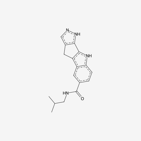 CC(C)CNC(=O)c1ccc2[nH]c3c(c2c1)Cc1cn[nH]c1-3